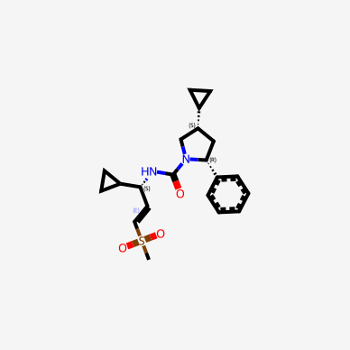 CS(=O)(=O)/C=C/[C@@H](NC(=O)N1C[C@H](C2CC2)C[C@@H]1c1ccccc1)C1CC1